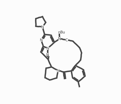 C=C1c2cc(C)ccc2CCCCCN(CCCC)c2cc(N3CCCC3)nc3cc(nn23)C2CCCCN12